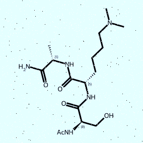 CC(=O)N[C@H](CO)C(=O)N[C@@H](CCCCN(C)C)C(=O)N[C@@H](C)C(N)=O